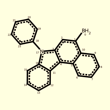 Bc1cc2c(c3ccccc13)c1ccccc1n2-c1ccccc1